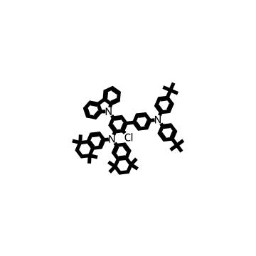 CC(C)(C)c1ccc(N(c2ccc(-c3cc(-n4c5ccccc5c5ccccc54)cc(N(c4ccc5c(c4)C(C)(C)CCC5(C)C)c4ccc5c(c4)C(C)(C)CCC5(C)C)c3Cl)cc2)c2ccc(C(C)(C)C)cc2)cc1